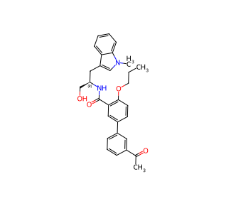 CCCOc1ccc(-c2cccc(C(C)=O)c2)cc1C(=O)N[C@@H](CO)Cc1cn(C)c2ccccc12